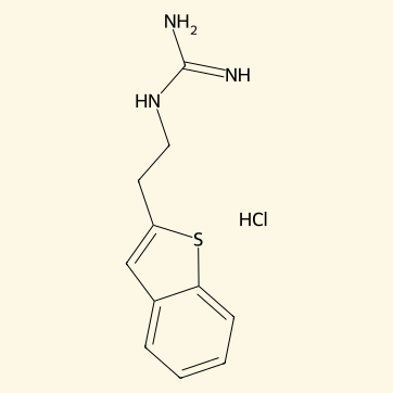 Cl.N=C(N)NCCc1cc2ccccc2s1